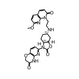 COc1ccc2ccc(=O)n(CCN[C@H]3CC[C@H]4[C@@H](C3)OC(=O)N4c3ccc4c(n3)NC(=O)CO4)c2n1